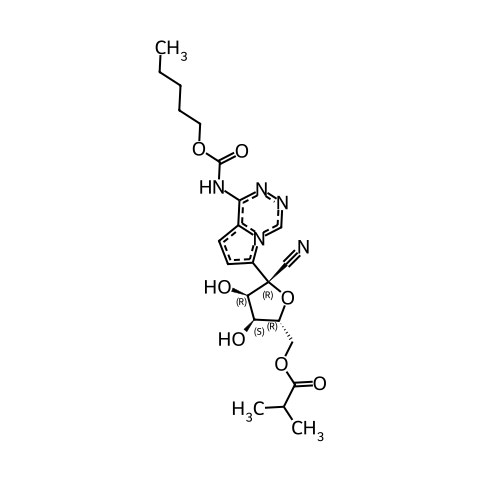 CCCCCOC(=O)Nc1nncn2c([C@]3(C#N)O[C@H](COC(=O)C(C)C)[C@@H](O)[C@H]3O)ccc12